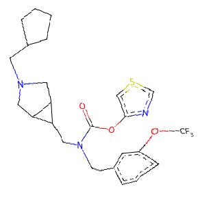 O=C(Oc1cscn1)N(Cc1cccc(OC(F)(F)F)c1)CC1C2CN(CC3CCCC3)CC21